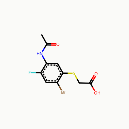 CC(=O)Nc1cc(SCC(=O)O)c(Br)cc1F